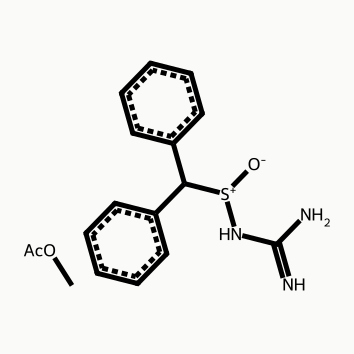 COC(C)=O.N=C(N)N[S+]([O-])C(c1ccccc1)c1ccccc1